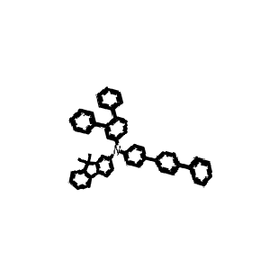 CC1(C)c2ccccc2-c2ccc(N(c3ccc(-c4ccc(-c5ccccc5)cc4)cc3)c3ccc(-c4ccccc4)c(-c4ccccc4)c3)cc21